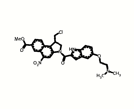 COC(=O)c1ccc2c3c(cc([N+](=O)[O-])c2c1)N(C(=O)c1cc2cc(OCCN(C)C)ccc2[nH]1)CC3CCl